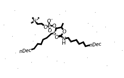 CCCCCCCCCCCCCCCCNC(=O)OC(C)C(OP(=O)([O-])OCC[N+](C)(C)C)SCCCCCCCCCCCCCCCC